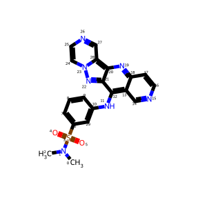 CN(C)S(=O)(=O)c1cccc(Nc2c3cnccc3nc3c2nn2ccncc32)c1